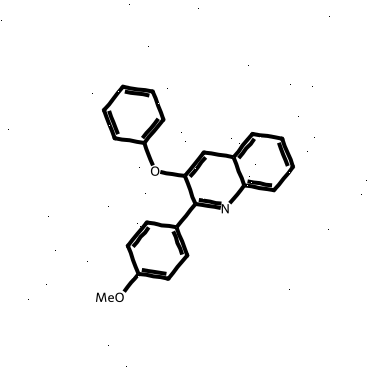 COc1ccc(-c2nc3ccccc3cc2Oc2ccccc2)cc1